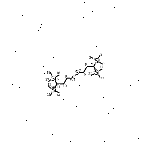 C[Si](C)(C)C(CCSSCCC([Si](C)(C)C)[Si](C)(C)C)[Si](C)(C)C